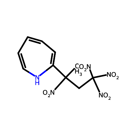 CC(CC([N+](=O)[O-])([N+](=O)[O-])[N+](=O)[O-])(C1=CC=CC=CN1)[N+](=O)[O-]